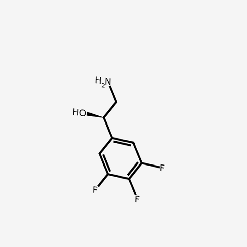 NC[C@H](O)c1cc(F)c(F)c(F)c1